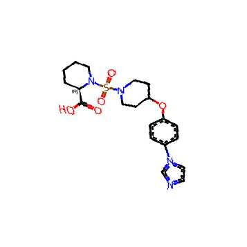 O=C(O)[C@H]1CCCCN1S(=O)(=O)N1CCC(Oc2ccc(-n3ccnc3)cc2)CC1